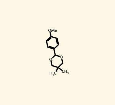 COc1ccc(C2OCC(C)(C)CO2)cc1